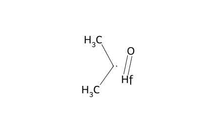 C[CH]C.[O]=[Hf]